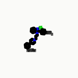 CC(=O)Nc1cccc(C2CCN(CCCn3c(-c4ccc([N+](=O)[O-])cc4Cl)nc4ccccc43)CC2)c1